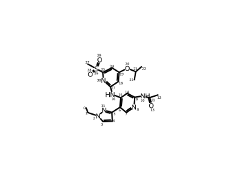 CCn1ccc(-c2cnc(NC(C)=O)cc2Nc2cc(OC(C)C)cc(S(C)(=O)=O)n2)n1